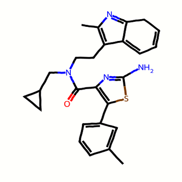 CC1=C(CCN(CC2CC2)C(=O)c2nc(N)sc2-c2cccc(C)c2)C2=CC=CCC2=N1